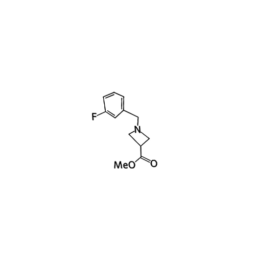 COC(=O)C1CN(Cc2cccc(F)c2)C1